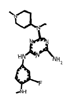 CNc1ccc(Nc2nc(N)nc(N(C)C3CCN(C)CC3)n2)cc1F